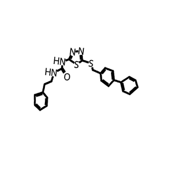 O=C(NCCc1ccccc1)Nc1nnc(SCc2ccc(-c3ccccc3)cc2)s1